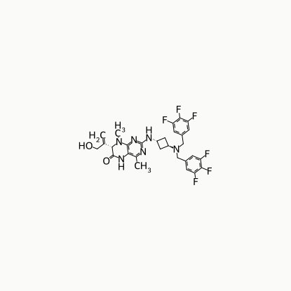 C=C(CO)[C@H]1C(=O)Nc2c(C)nc(N[C@H]3C[C@H](N(Cc4cc(F)c(F)c(F)c4)Cc4cc(F)c(F)c(F)c4)C3)nc2N1C